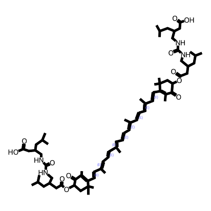 CC1=C(/C=C/C(C)=C/C=C/C(C)=C/C=C/C=C(C)/C=C/C=C(C)/C=C/C2=C(C)C(=O)C(OC(=O)CC(CNC(=O)NCC(CC(=O)O)CC(C)C)CC(C)C)CC2(C)C)C(C)(C)CC(OC(=O)CC(CNC(=O)NCC(CC(=O)O)CC(C)C)CC(C)C)C1=O